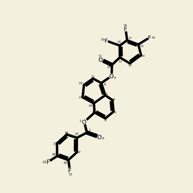 O=C(Oc1cccc2c(OC(=O)c3ccc(F)c(F)c3F)cccc12)c1ccc(F)c(F)c1